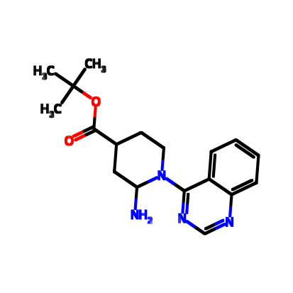 CC(C)(C)OC(=O)C1CCN(c2ncnc3ccccc23)C(N)C1